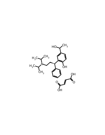 CC(O)c1ccc(O)c([C@H](CCN(C(C)C)C(C)C)c2ccccc2)c1.O=C(O)C=CC(=O)O